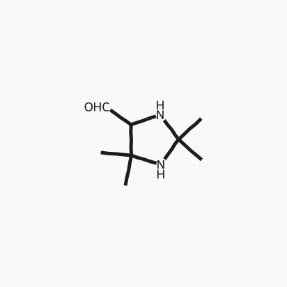 CC1(C)NC(C=O)C(C)(C)N1